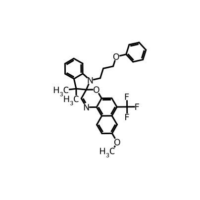 COc1ccc2c3c(cc(C(F)(F)F)c2c1)OC1(C=N3)N(CCCOc2ccccc2)c2ccccc2C1(C)C